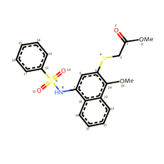 COC(=O)CSc1cc(NS(=O)(=O)c2ccccc2)c2ccccc2c1OC